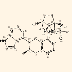 C[C@@H]1Cc2ncnc(N3C[C@H]4CC[C@@H](C3)[C@H]4NS(C)(=O)=O)c2CN1c1ccnc2[nH]ccc12